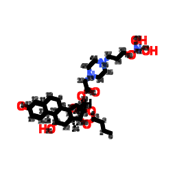 CCCC1O[C@@H]2CC3C4CCC5=CC(=O)C=C[C@]5(C)C4[C@@H](O)C[C@]3(C)[C@]2(C(=O)COC(=O)CN2CCN(CCCON(O)O)CC2)O1